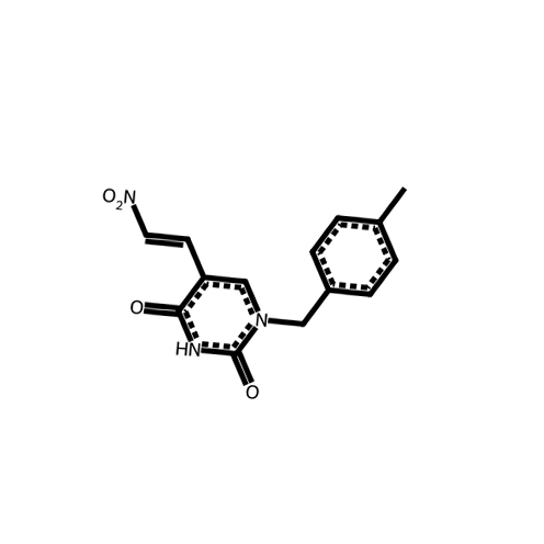 Cc1ccc(Cn2cc(/C=C/[N+](=O)[O-])c(=O)[nH]c2=O)cc1